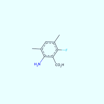 Cc1cc(C)c(F)c(C(=O)O)c1N